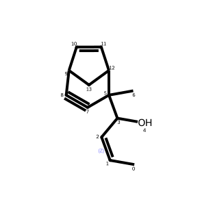 C/C=C\C(O)C1(C)C#CC2C=CC1C2